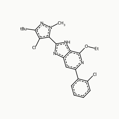 CCOc1nc(-c2ccccc2Cl)cc2nc(-c3c(Cl)c(C(C)(C)C)nn3C)[nH]c12